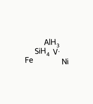 [AlH3].[Fe].[Ni].[SiH4].[V]